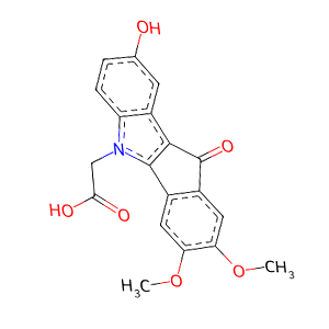 COc1cc2c(cc1OC)-c1c(c3cc(O)ccc3n1CC(=O)O)C2=O